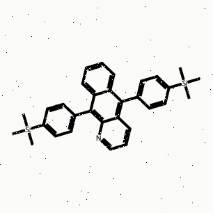 C[Si](C)(C)c1ccc(-c2c3ccccc3c(-c3ccc([Si](C)(C)C)cc3)c3ncccc23)cc1